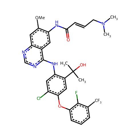 COc1cc2ncnc(Nc3cc(Cl)c(Oc4cccc(C(F)(F)F)c4F)cc3C(C)(C)O)c2cc1NC(=O)C=CCN(C)C